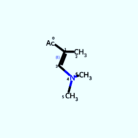 CC(=O)/C(C)=C/N(C)C